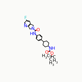 CC(C)(C)OC(=O)NC1CCC(c2ccc(NC(=O)N3Cc4cc(F)cnc4C3)cc2)CC1